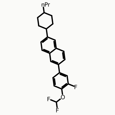 CCCC1CCC(c2ccc3cc(-c4ccc(OC(F)F)c(F)c4)ccc3c2)CC1